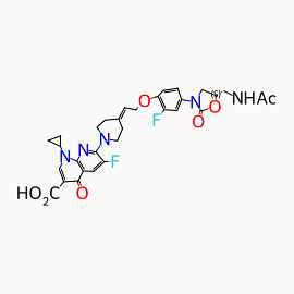 CC(=O)NC[C@H]1CN(c2ccc(OCC=C3CCN(c4nc5c(cc4F)c(=O)c(C(=O)O)cn5C4CC4)CC3)c(F)c2)C(=O)O1